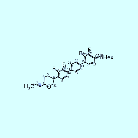 C/C=C/C1CCC(c2ccc(-c3ccc(-c4ccc(OCCCCCC)c(F)c4F)cc3)c(F)c2F)CO1